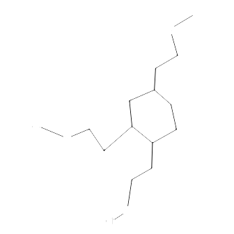 ClSCCC1CCC(CCSCl)C(CCSCl)C1